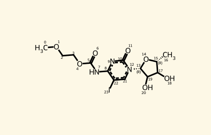 COCCOC(=O)Nc1nc(=O)n([C@@H]2O[C@H](C)C(O)C2O)cc1I